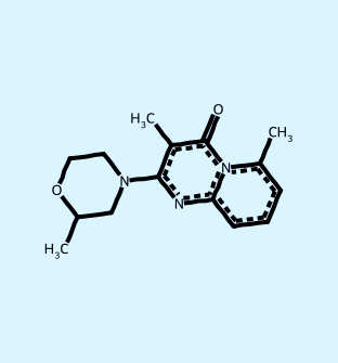 Cc1c(N2CCOC(C)C2)nc2cccc(C)n2c1=O